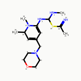 CNC(NC1=CC(CN2CCOCC2)=CC(C)N1C)SC(C)=N